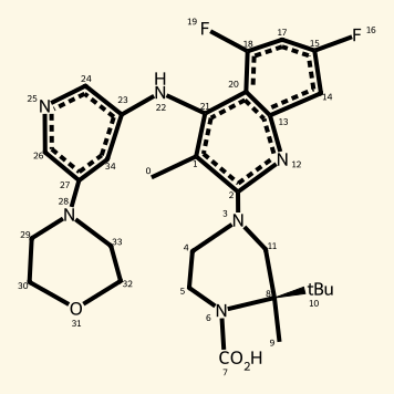 Cc1c(N2CCN(C(=O)O)[C@](C)(C(C)(C)C)C2)nc2cc(F)cc(F)c2c1Nc1cncc(N2CCOCC2)c1